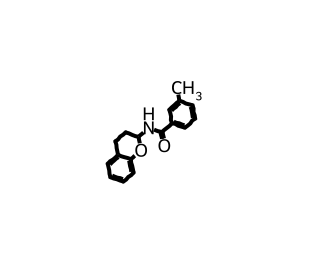 Cc1cccc(C(=O)NC2CCc3ccccc3O2)c1